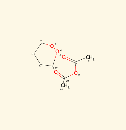 C1CCOOC1.CC(=O)OC(C)=O